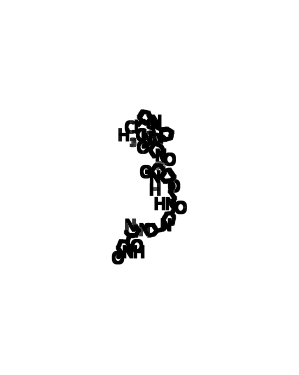 CNC(=O)C1(Oc2ccccc2-c2nc3cccc(Cl)c3s2)CCN(C(=O)[C@H]2CC(=O)Nc3cc(OCCNC(=O)C4CCN(CC5CCN(c6cncc(C7CCC(=O)NC7=O)c6)CC5)CC4)ccc32)CC1